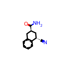 N#C[C@H]1C[C@H](C(N)=O)Cc2ccccc21